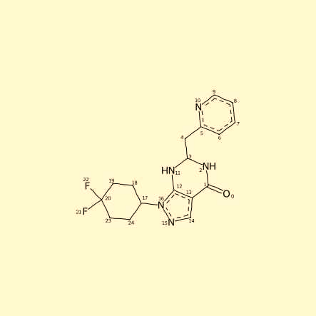 O=C1NC(Cc2ccccn2)Nc2c1cnn2C1CCC(F)(F)CC1